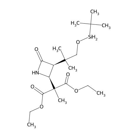 CCOC(=O)C(C)(C(=O)OCC)[C@H]1NC(=O)[C@H]1C(C)(C)CO[SiH2]C(C)(C)C